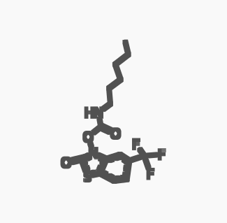 CCCCCCNC(=O)On1c(=O)sc2ccc(C(F)(F)F)cc21